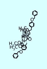 CCC(CC)(Cc1ccc(OCc2ccccc2)cc1)P(=O)(O)ONC(=O)[C@H](Cc1ccc(OCc2ccccc2)cc1)NC(=O)OC(C)(C)C